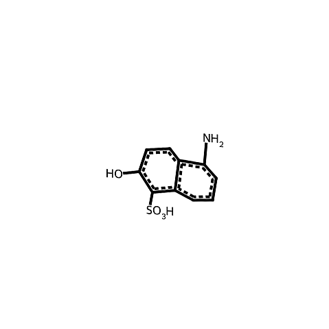 Nc1cccc2c(S(=O)(=O)O)c(O)ccc12